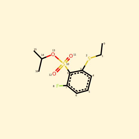 CCSc1cccc(F)c1S(=O)(=O)OC(C)C